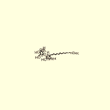 CCCCCCCCCCCCCCCCCCCCCCCC(=O)N[C@@H](COC1OC(CO)C(O)C(O)C1O)[C@H](O)CCCCCC